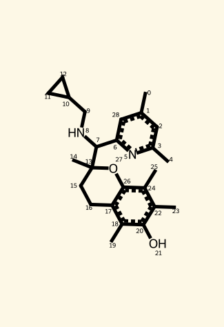 Cc1cc(C)nc(C(NCC2CC2)C2(C)CCc3c(C)c(O)c(C)c(C)c3O2)c1